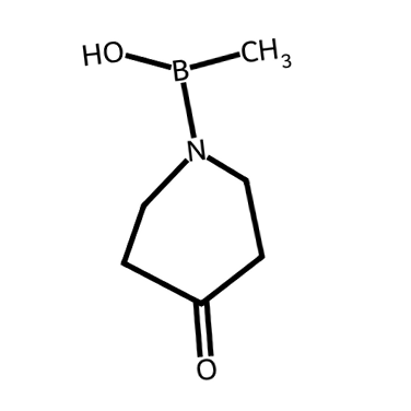 CB(O)N1CCC(=O)CC1